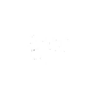 Cc1ccc2c(c1)[C@H](Nc1nc(C)c(I)c(N)n1)[C@@H](C)C2